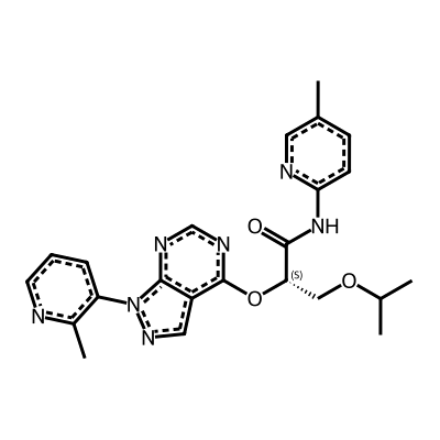 Cc1ccc(NC(=O)[C@H](COC(C)C)Oc2ncnc3c2cnn3-c2cccnc2C)nc1